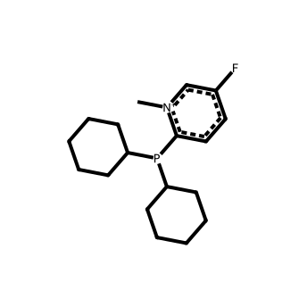 C[n+]1cc(F)ccc1P(C1CCCCC1)C1CCCCC1